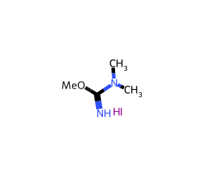 COC(=N)N(C)C.I